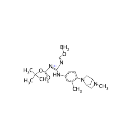 BOC=N/C(=N/C(=O)OC(C)(C)C)Nc1ccc(N2CC3CC2CN3C)c(C)c1